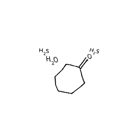 O.O=C1CCCCC1.S.S